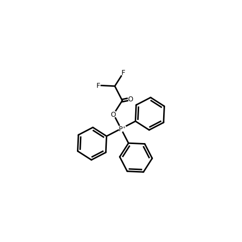 O=C(O[P+](c1ccccc1)(c1ccccc1)c1ccccc1)C(F)F